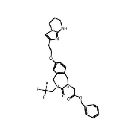 O=C(C[C@@H]1Cc2ccc(OCCc3cn4c(n3)NCCC4)cc2CN(CC(F)(F)F)C1=O)OCc1ccccc1